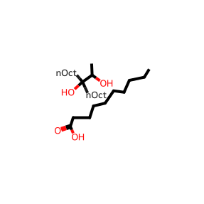 CCCCCCCCC(O)(CCCCCCCC)C(C)O.CCCCCCCCCC(=O)O